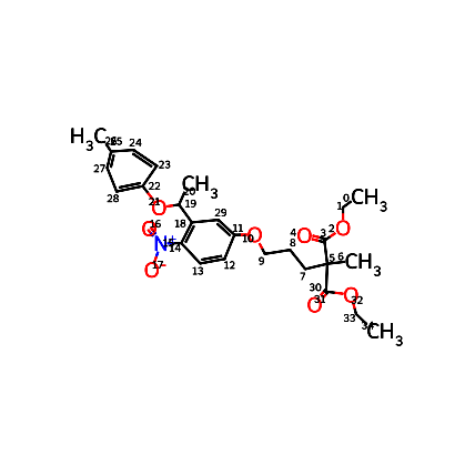 CCOC(=O)C(C)(CCCOc1ccc([N+](=O)[O-])c(C(C)Oc2ccc(C)cc2)c1)C(=O)OCC